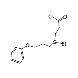 CC[S+](CCCOc1ccccc1)CCC(=O)Cl